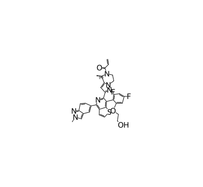 C=CC(=O)N1CCn2nc(-c3nc(-c4ccc5nn(C)cc5c4)c4ccsc4c3-c3c(F)cc(F)cc3OCCO)cc2[C@H]1C